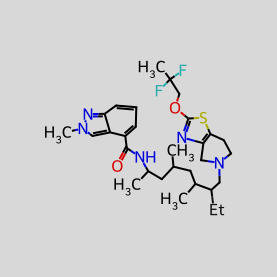 CCC(CN1CCc2sc(OCC(C)(F)F)nc2C1)C(C)CC(C)CC(C)NC(=O)c1cccc2nn(C)cc12